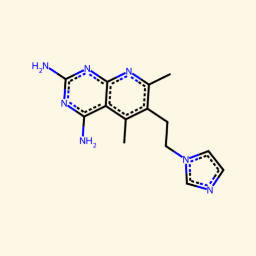 Cc1nc2nc(N)nc(N)c2c(C)c1CCn1ccnc1